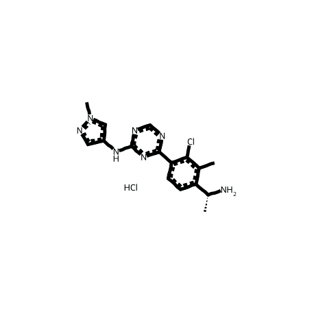 Cc1c([C@@H](C)N)ccc(-c2ncnc(Nc3cnn(C)c3)n2)c1Cl.Cl